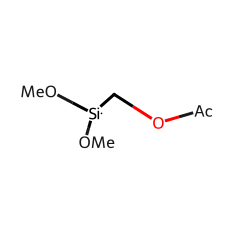 CO[Si](COC(C)=O)OC